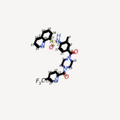 Cc1cc(C(=O)N2CCN(C(=O)c3ccc(C(F)(F)F)cn3)CC2)ccc1N[S+]([O-])c1cccc2cccnc12